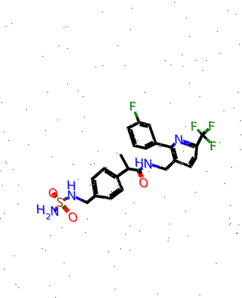 CC(C(=O)NCc1ccc(C(F)(F)F)nc1-c1cccc(F)c1)c1ccc(CNS(N)(=O)=O)cc1